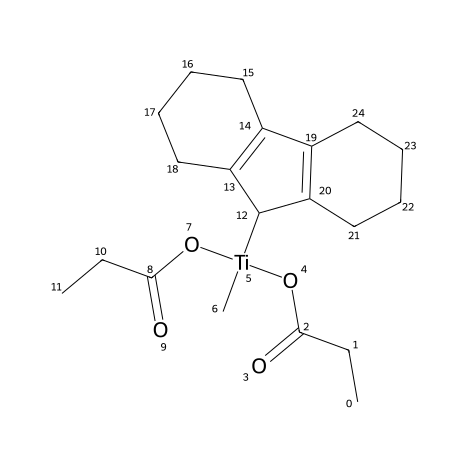 CCC(=O)[O][Ti]([CH3])([O]C(=O)CC)[CH]1C2=C(CCCC2)C2=C1CCCC2